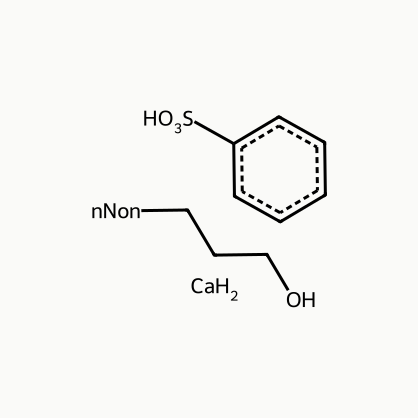 CCCCCCCCCCCCO.O=S(=O)(O)c1ccccc1.[CaH2]